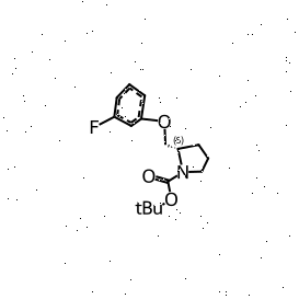 CC(C)(C)OC(=O)N1CCC[C@H]1COc1cccc(F)c1